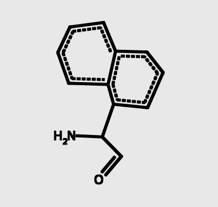 NC(C=O)c1cccc2ccccc12